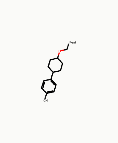 CCCC(C)COC1CCC(c2ccc(C#N)cc2)CC1